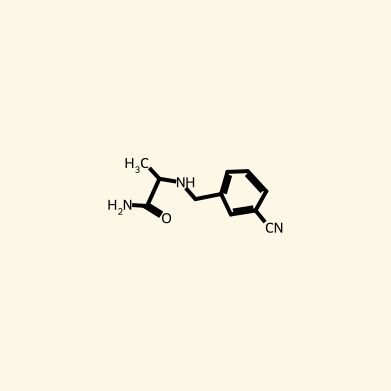 CC(NCc1cccc(C#N)c1)C(N)=O